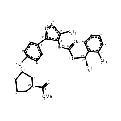 COC(=O)[C@H]1CCC[C@H](Oc2ccc(-c3onc(C)c3NC(=O)O[C@H](C)c3ccccc3C(F)(F)F)cc2)C1